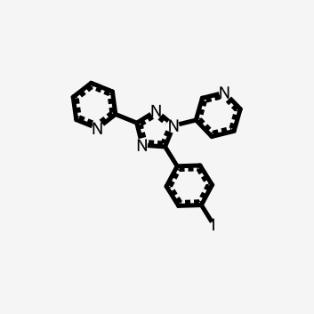 Ic1ccc(-c2nc(-c3ccccn3)nn2-c2cccnc2)cc1